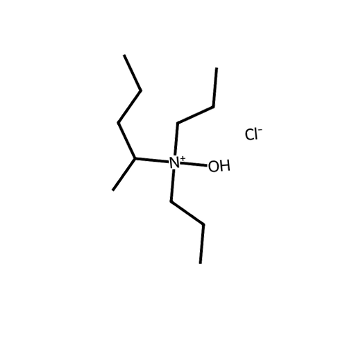 CCCC(C)[N+](O)(CCC)CCC.[Cl-]